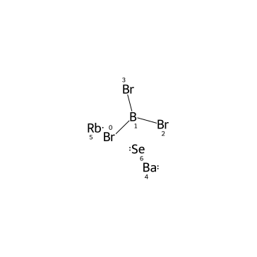 BrB(Br)Br.[Ba].[Rb].[Se]